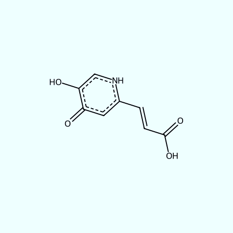 O=C(O)C=Cc1cc(=O)c(O)c[nH]1